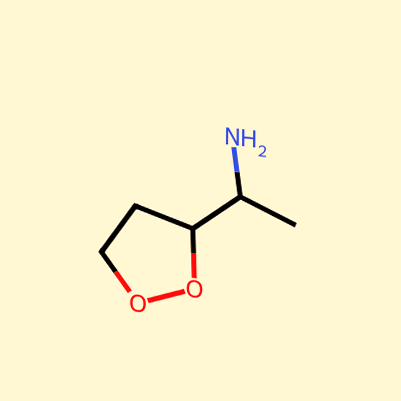 CC(N)C1CCOO1